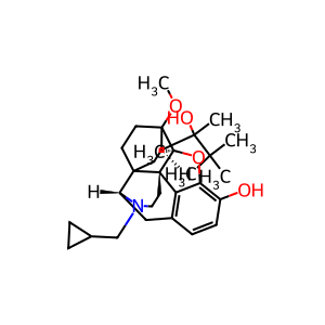 COC12CCC3(C[C@@H]1C(C)(O)C(C)(C)C)[C@H]1Cc4ccc(O)c5c4[C@@]3(CCN1CC1CC1)[C@]2(C)O5